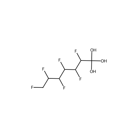 OC(O)(O)C(F)C(F)C(F)C(F)C(F)CF